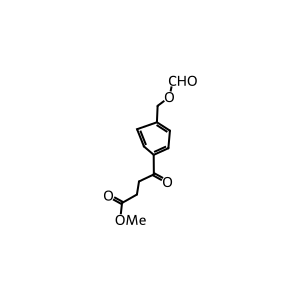 COC(=O)CCC(=O)c1ccc(COC=O)cc1